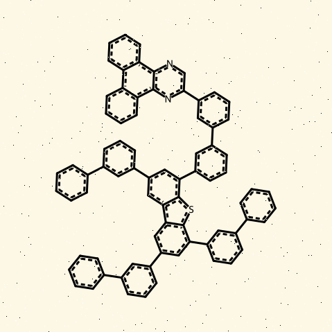 c1ccc(-c2cccc(-c3cc(-c4cccc(-c5ccccc5)c4)c4sc5c(-c6cccc(-c7cccc(-c8cnc9c%10ccccc%10c%10ccccc%10c9n8)c7)c6)cc(-c6cccc(-c7ccccc7)c6)cc5c4c3)c2)cc1